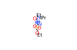 CCOCCS(=O)(=O)c1ncn(C(=O)N(CC)C(C)C)n1